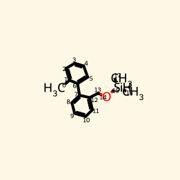 Cc1ccccc1-c1ccccc1CO[SiH](C)C